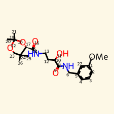 COc1cccc(CNC(=O)C(O)CCNC(=O)[C@@H]2OC(C)(C)OCC2(C)C)c1